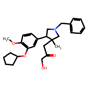 COc1ccc(C2CN(Cc3ccccc3)CC2(C)CC(=O)CO)cc1OC1CCCC1